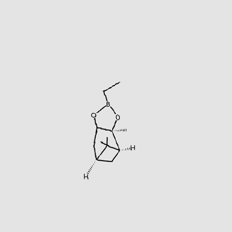 CCB1OC2C[C@@H]3C[C@@H](C3(C)C)[C@]2(C)O1